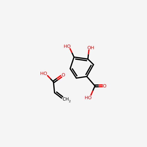 C=CC(=O)O.O=C(O)c1ccc(O)c(O)c1